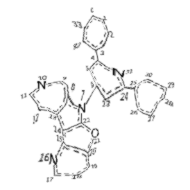 c1ccc(-c2cc(-n3c4cnccc4c4c5ncccc5oc43)cc(-c3ccccc3)n2)cc1